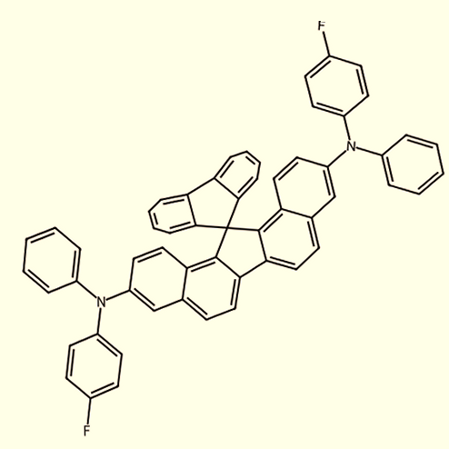 Fc1ccc(N(c2ccccc2)c2ccc3c4c(ccc3c2)-c2ccc3cc(N(c5ccccc5)c5ccc(F)cc5)ccc3c2C42c3ccccc3-c3ccccc32)cc1